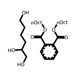 CCCCCCCCOC(=O)c1ccccc1C(=O)OCCCCCCCC.OCCCCC(O)CO